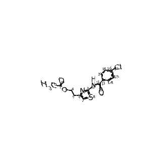 CC(=O)OCCc1csc(NC(=O)c2ccc(Cl)cc2)n1